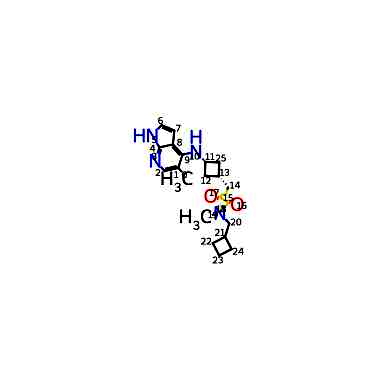 Cc1cnc2[nH]ccc2c1N[C@H]1C[C@@H](CS(=O)(=O)N(C)CC2CCC2)C1